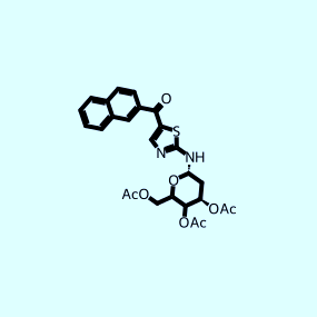 CC(=O)OCC1O[C@H](Nc2ncc(C(=O)c3ccc4ccccc4c3)s2)C[C@@H](OC(C)=O)C1OC(C)=O